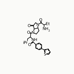 CCC(N)C(=O)N1CC(=O)C2C1CCN2C(=O)C(CC(C)C)NC(=O)c1ccc(-c2cccs2)cc1